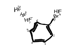 Brc1ccccc1.F.F.F.F